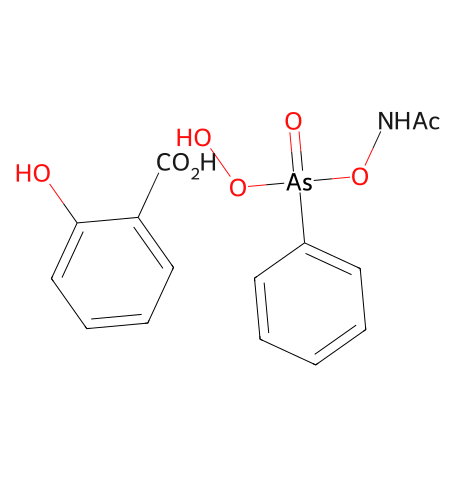 CC(=O)NO[As](=O)(OO)c1ccccc1.O=C(O)c1ccccc1O